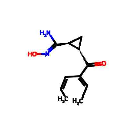 C/C=C\C(=C/C)C(=O)[C@H]1C[C@@H]1/C(N)=N/O